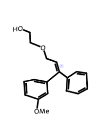 COc1cccc(/C(=C\COCCO)c2ccccc2)c1